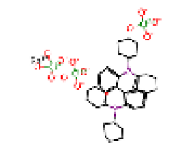 Cc1cccc(P(C2CCCCC2)C2CCCCC2)c1-c1c(C)cccc1P(C1CCCCC1)C1CCCCC1.[O-][Cl+3]([O-])([O-])[O-].[O-][Cl+3]([O-])([O-])[O-].[O-][Cl+3]([O-])([O-])[O-].[Rh+3]